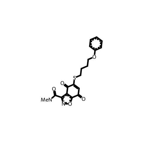 CNC(=O)c1noc2c1C(=O)C(SCCCCOc1ccccc1)=CC2=O